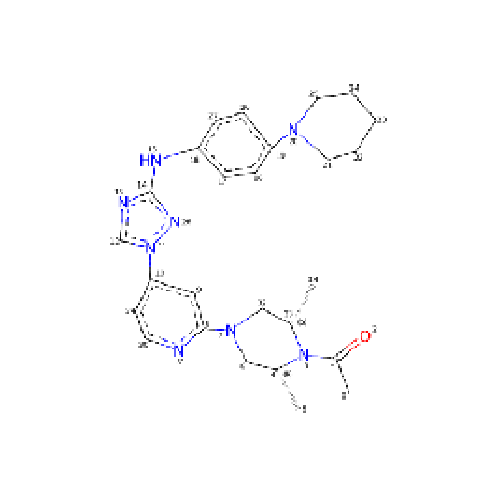 CC(=O)N1[C@H](C)CN(c2cc(-n3cnc(Nc4ccc(N5CCCCC5)cc4)n3)ccn2)C[C@@H]1C